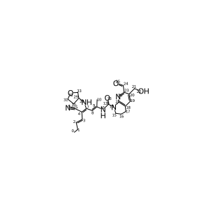 CC/C=C/C(C#N)=C(\C=C(/C)NC(=O)N1CCCc2cc(CO)c(C=O)nc21)NC1CCOC1